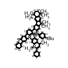 C=C1C=C(c2ccccc2)N(C)c2cc3c(cc21)Bc1c(-c2cc4c(cc2Nc2ccc(C(C)(C)C)cc2)C(C)(C)c2cc5c(cc2-4)C(C)(C)CCC5(C)C)ccc2c4cc5sc6ccccc6c5cc4n-3c12